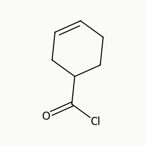 O=C(Cl)C1CC=CCC1